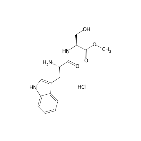 COC(=O)[C@H](CO)NC(=O)[C@@H](N)Cc1c[nH]c2ccccc12.Cl